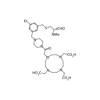 CCc1cc(CSC[C@@H](C=O)NC)cc(CN2CCN(C(=O)CN3CCN(CC(=O)O)CCN(CC(=O)O)CCN(CC(=O)O)CC3)CC2)c1